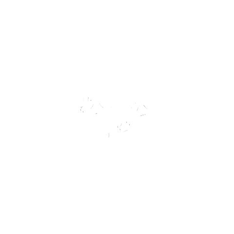 Cl.Nc1cc(OC[C@@H]2CO[C@@](Cn3ccnc3)(c3ccc(Cl)cc3Cl)O2)ccc1[N+](=O)[O-]